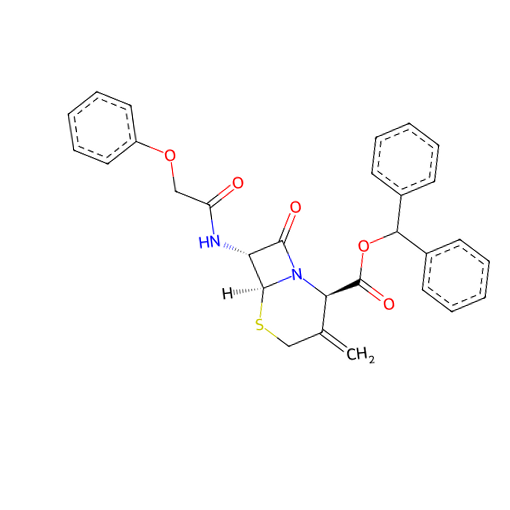 C=C1CS[C@H]2[C@H](NC(=O)COc3ccccc3)C(=O)N2[C@H]1C(=O)OC(c1ccccc1)c1ccccc1